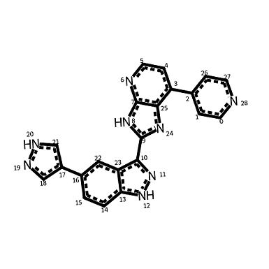 c1cc(-c2ccnc3[nH]c(-c4n[nH]c5ccc(-c6cn[nH]c6)cc45)nc23)ccn1